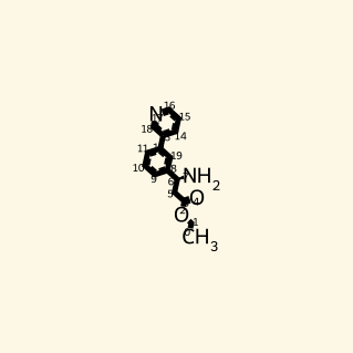 CCOC(=O)C[C@H](N)c1cccc(-c2cccnc2)c1